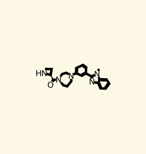 Cn1c(-c2cccc(N3CCCN(C(=O)[C@@H]4CCN4)CC3)c2)nc2ccccc21